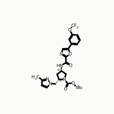 Cc1ccn(C[C@@H]2C[C@@H](NC(=O)c3ncc(-c4cccc(OC(F)(F)F)c4)o3)CN2C(=O)OC(C)(C)C)n1